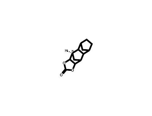 O=C1OC2C3C[C@@H](C2O1)C1C2CCC(C2)C31